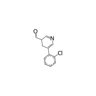 O=CC1C=NC=C(c2ccccc2Cl)C1